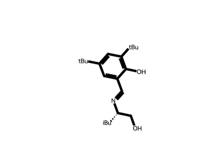 CCC(C)[C@@H](CO)N=Cc1cc(C(C)(C)C)cc(C(C)(C)C)c1O